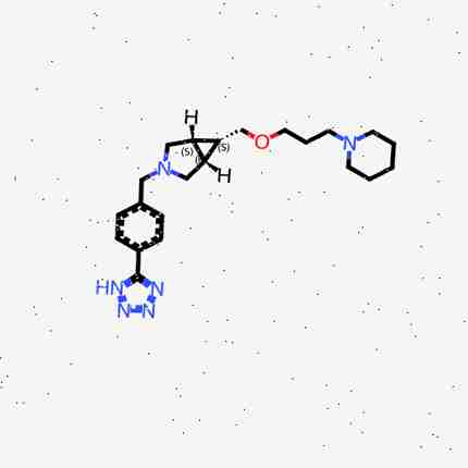 c1cc(-c2nnn[nH]2)ccc1CN1C[C@@H]2[C@H](COCCCN3CCCCC3)[C@@H]2C1